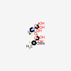 COc1cc(C)c(F)cc1[C@@H]1O[C@H](CO/[SH]=c2\c3scnc3ccn2[C@@H]2O[C@H](CO)C(O)C2O)C(O)C1O